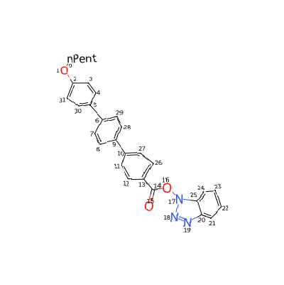 CCCCCOc1ccc(-c2ccc(-c3ccc(C(=O)On4nnc5ccccc54)cc3)cc2)cc1